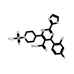 COC(=O)C1=C(C2CCN(S(C)(=O)=O)CC2)NC(c2nccs2)=NC1c1ccc(F)cc1Cl